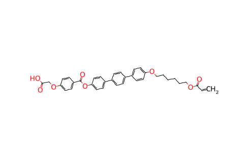 C=CC(=O)OCCCCCCOc1ccc(-c2ccc(-c3ccc(OC(=O)c4ccc(OCC(=O)O)cc4)cc3)cc2)cc1